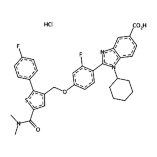 CN(C)C(=O)c1cc(COc2ccc(-c3nc4cc(C(=O)O)ccc4n3C3CCCCC3)c(F)c2)c(-c2ccc(F)cc2)s1.Cl